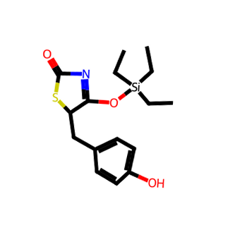 CC[Si](CC)(CC)OC1=NC(=O)SC1Cc1ccc(O)cc1